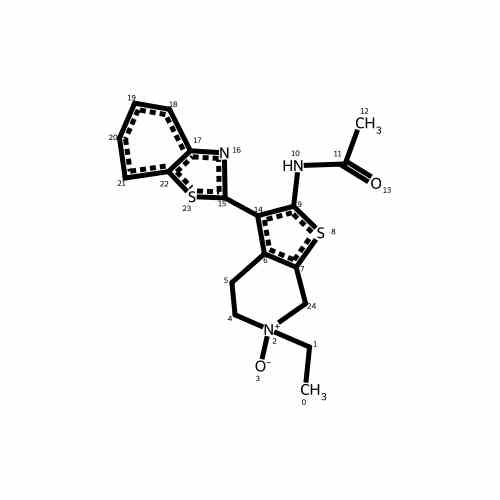 CC[N+]1([O-])CCc2c(sc(NC(C)=O)c2-c2nc3ccccc3s2)C1